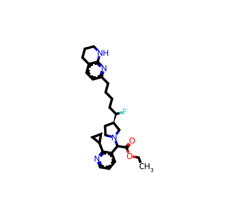 CCOC(=O)C(c1cccnc1C1CC1)N1CC[C@@H](C(F)CCCCc2ccc3c(n2)NCCC3)C1